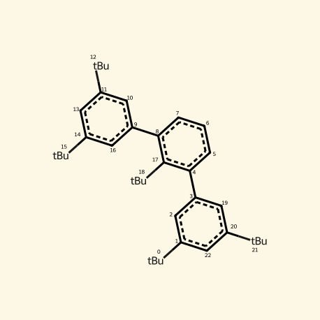 CC(C)(C)c1cc(-c2cccc(-c3cc(C(C)(C)C)cc(C(C)(C)C)c3)c2C(C)(C)C)cc(C(C)(C)C)c1